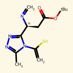 C=N[C@@H](CC(=O)OC(C)(C)C)c1nnc(C)n1C(=C)S